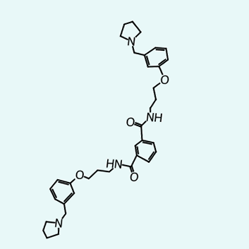 O=C(NCCCOc1cccc(CN2CCCC2)c1)c1cccc(C(=O)NCCCOc2cccc(CN3CCCC3)c2)c1